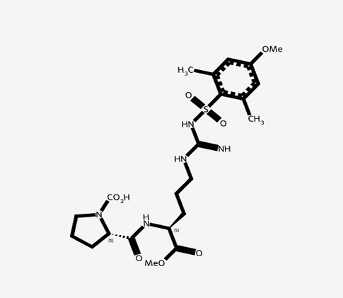 COC(=O)[C@H](CCCNC(=N)NS(=O)(=O)c1c(C)cc(OC)cc1C)NC(=O)[C@@H]1CCCN1C(=O)O